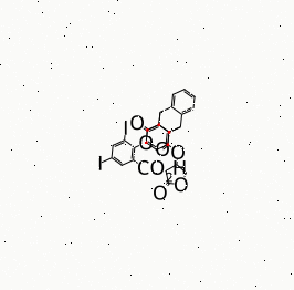 O=C1CC(OC(=O)C2C3c4ccccc4C(c4ccccc43)C2C(=O)Oc2c(I)cc(I)cc2C(=O)O)CO1